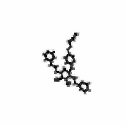 [N-]=[N+]=NCCc1ccc(O[C@@H]2OC(COCc3ccccc3)[C@H](O)C(O)C2OCc2ccccc2)cc1